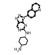 N[C@H]1CC[C@H](Nc2ncc3nnn(-c4ccc5ncccc5c4)c3n2)CC1